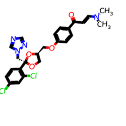 CN(C)C=CC(=O)c1ccc(OC[C@H]2CO[C@@](Cn3cncn3)(c3ccc(Cl)cc3Cl)O2)cc1